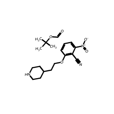 CC(C)(C)OC=O.N#Cc1c(OCCC2CCNCC2)cccc1[N+](=O)[O-]